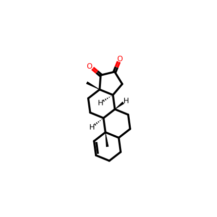 C[C@]12C=CCCC1CC[C@@H]1[C@@H]2CC[C@]2(C)C(=O)C(=O)C[C@@H]12